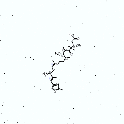 C/C(=C/C[C@H](N)/C(C)=C/c1csc(C)n1)CCC[C@H](C)[C@H](O)[C@@H](C)C(=O)C(C)(C)[C@@H](O)CC(=O)O